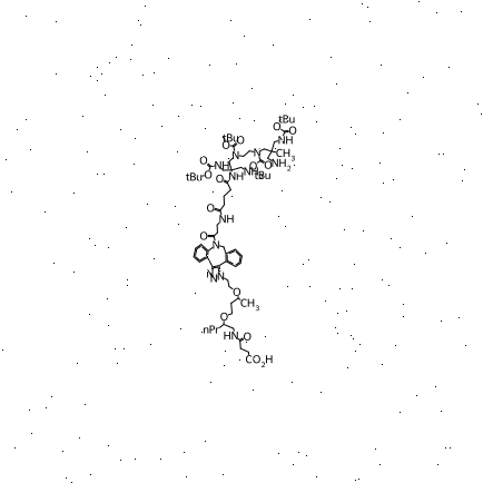 CCCC(CNC(=O)CCC(=O)O)OCCC(C)OCCn1nnc2c1-c1ccccc1CN(C(=O)CCNC(=O)CCCC(=O)NC(CN)(CNC(=O)OC(C)(C)C)CN(CCN(CC(C)(CN)CNC(=O)OC(C)(C)C)C(=O)OC(C)(C)C)C(=O)OC(C)(C)C)c1ccccc1-2